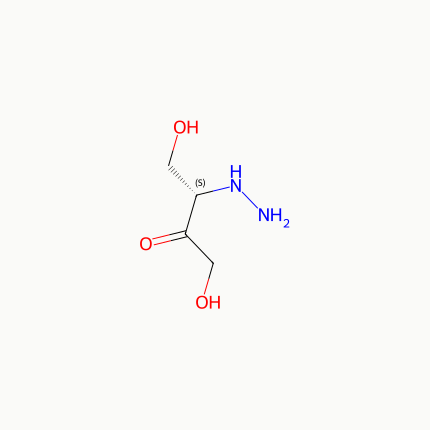 NN[C@@H](CO)C(=O)CO